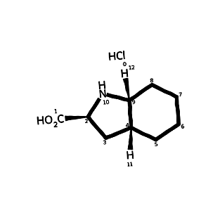 Cl.O=C(O)[C@@H]1C[C@H]2CCCC[C@H]2N1